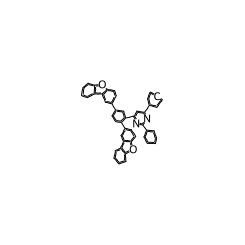 c1ccc(-c2cc(-c3cc(-c4ccc5oc6ccccc6c5c4)ccc3-c3ccc4oc5ccccc5c4c3)nc(-c3ccccc3)n2)cc1